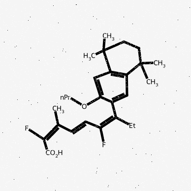 CCCOc1cc2c(cc1\C(CC)=C(F)/C=C/C(C)=C(/F)C(=O)O)C(C)(C)CCC2(C)C